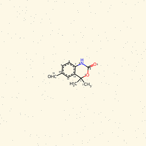 CC1(C)OC(=O)Nc2ccc(C=O)cc21